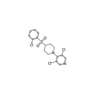 O=S(=O)(c1ccccc1Cl)C1CCN(c2c(Cl)cncc2Cl)CC1